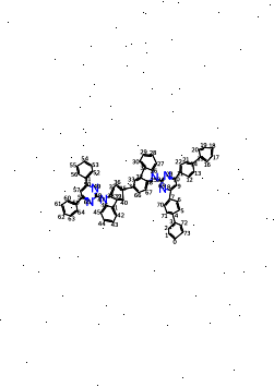 c1ccc(-c2ccc(-c3cc(-c4ccc(-c5ccccc5)cc4)nc(-n4c5ccccc5c5cc(-c6ccc7c(c6)c6ccccc6n7-c6nc(-c7ccccc7)cc(-c7ccccc7)n6)ccc54)n3)cc2)cc1